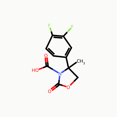 CC1(c2ccc(F)c(F)c2)COC(=O)N1C(=O)O